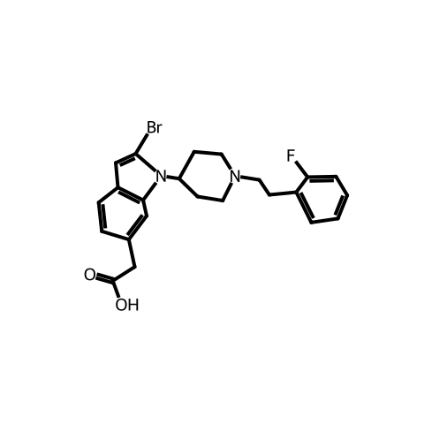 O=C(O)Cc1ccc2cc(Br)n(C3CCN(CCc4ccccc4F)CC3)c2c1